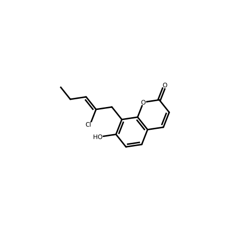 CCC=C(Cl)Cc1c(O)ccc2ccc(=O)oc12